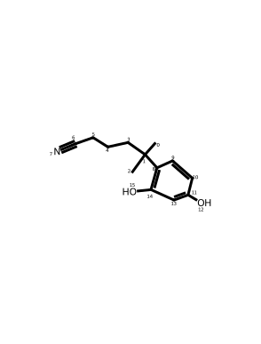 CC(C)(CCCC#N)c1ccc(O)cc1O